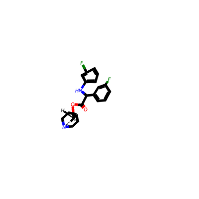 O=C(O[C@H]1CN2CCC1CC2)C(Nc1cccc(F)c1)c1cccc(F)c1